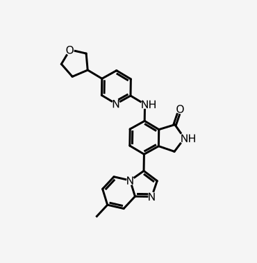 Cc1ccn2c(-c3ccc(Nc4ccc(C5CCOC5)cn4)c4c3CNC4=O)cnc2c1